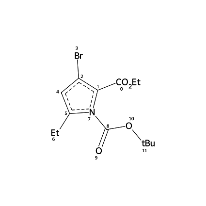 CCOC(=O)c1c(Br)cc(CC)n1C(=O)OC(C)(C)C